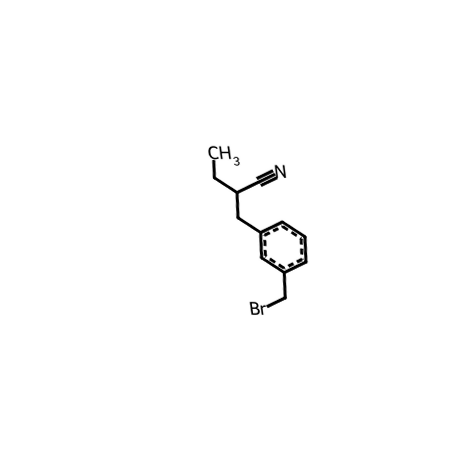 CCC(C#N)Cc1cccc(CBr)c1